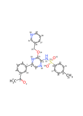 CC(=O)c1cccc(-c2cnc(NS(=O)(=O)c3ccc(C)cc3)c(OCc3cccnc3)n2)c1